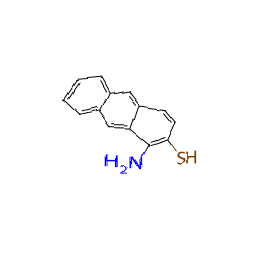 Nc1c(S)ccc2cc3ccccc3cc12